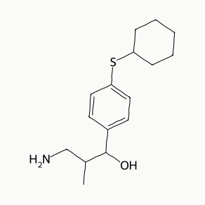 CC(CN)C(O)c1ccc(SC2CCCCC2)cc1